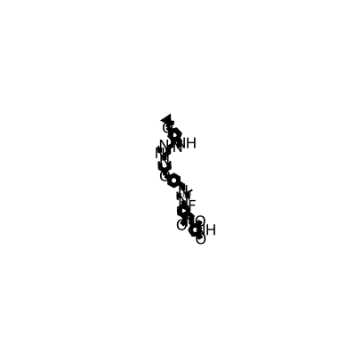 C[C@H]1CN(c2ccc3c(c2F)CN(C2CCC(=O)NC2=O)C3=O)CCN1CC1CCC(OC2CCN(c3cc(-c4n[nH]c5ccc(OC6(C)CC6)cc45)ncn3)CC2)CC1